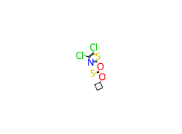 S=C(Oc1nc(Cl)c(Cl)s1)OC1CCC1